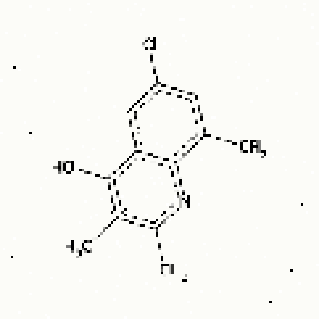 Cc1nc2c(C)cc(Cl)cc2c(O)c1C